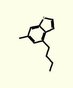 CCCCc1cc(C)cc2sccc12